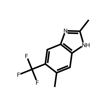 Cc1nc2cc(C(F)(F)F)c(C)cc2[nH]1